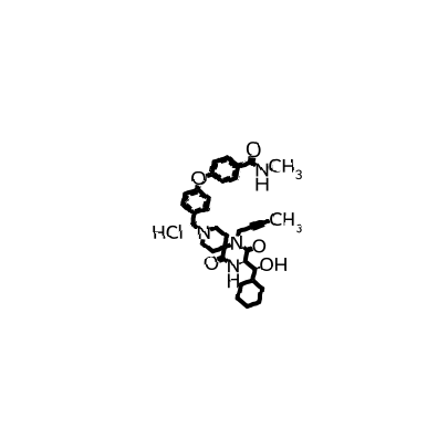 CC#CCN1C(=O)[C@@H]([C@H](O)C2CCCCC2)NC(=O)C12CCN(Cc1ccc(Oc3ccc(C(=O)NC)cc3)cc1)CC2.Cl